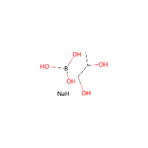 CC(O)CO.OB(O)O.[NaH]